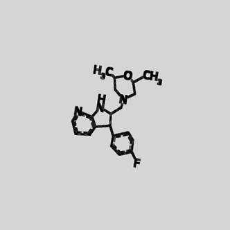 CC1CN(CC2Nc3ncccc3C2c2ccc(F)cc2)CC(C)O1